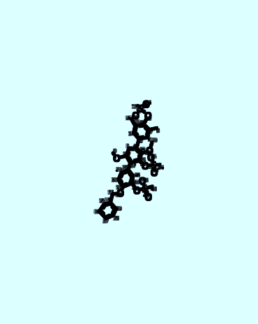 COc1cc(-c2cc(C)c(OS(C)(=O)=O)c(C)c2)c(OC)c(OS(C)(=O)=O)c1-c1ccc(OCc2ccccc2)c(OS(C)(=O)=O)c1